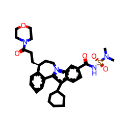 CN(C)S(=O)(=O)NC(=O)c1ccc2c(C3CCCCC3)c3n(c2c1)CC[C@H](CCC(=O)N1CCOCC1)c1ccccc1-3